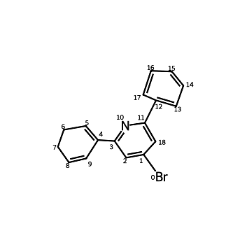 Brc1cc(C2=CCCC=C2)nc(-c2ccccc2)c1